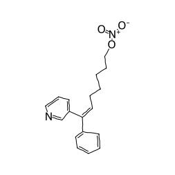 O=[N+]([O-])OCCCCCC=C(c1ccccc1)c1cccnc1